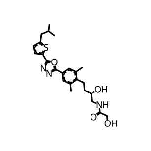 Cc1cc(-c2nnc(-c3ccc(CC(C)C)s3)o2)cc(C)c1CC[C@@H](O)CNC(=O)CO